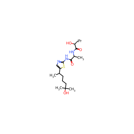 CC(NC(=O)C(O)C(C)C)C(=O)Nc1ncc(C(C)CCCC(C)(C)O)s1